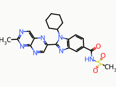 Cc1ncc2nc(-c3nc4cc(C(=O)NS(C)(=O)=O)ccc4n3C3CCCCC3)cnc2n1